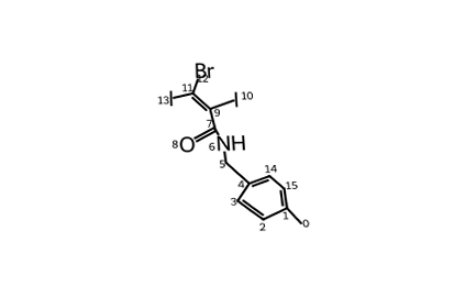 Cc1ccc(CNC(=O)C(I)=C(Br)I)cc1